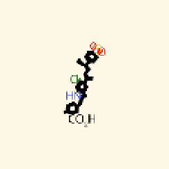 C=C/C(=C\C=C(/C)c1cc2cc(Cc3ccc(C)c(C(=O)O)c3)[nH]c2cc1Cl)c1ccc(S(C)(=O)=O)cc1